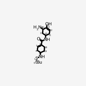 CC(C)(C)SNC1CC=C(C(=O)NC2CC=C(O)C(N)C2)CC1